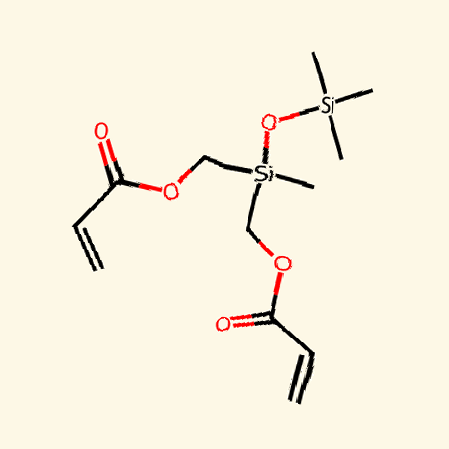 C=CC(=O)OC[Si](C)(COC(=O)C=C)O[Si](C)(C)C